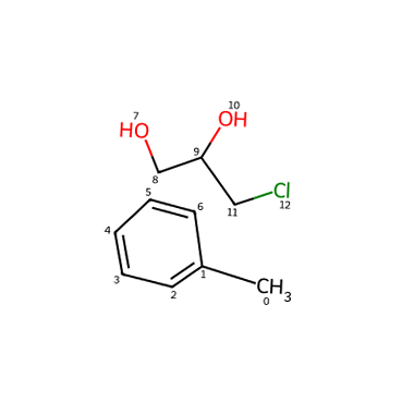 Cc1ccccc1.OCC(O)CCl